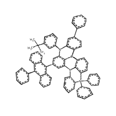 CC(C)(C)c1cccc(N2c3cc(-c4ccccc4)ccc3B3c4cccc5c4N(c4ccccc4[Si]5(c4ccccc4)c4ccccc4)c4cc(-c5c6ccccc6c(-c6ccccc6)c6ccccc56)cc2c43)c1